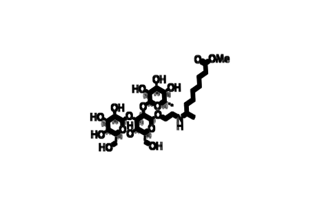 COC(=O)CCCCCCC(C)NCCO[C@@H]1O[C@H](CO)[C@H](O)[C@H](O[C@H]2O[C@H](CO)[C@H](O)[C@H](O)[C@H]2O)[C@H]1O[C@@H]1O[C@@H](C)[C@@H](O)[C@@H](O)[C@@H]1O